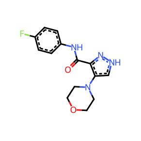 O=C(Nc1ccc(F)cc1)c1n[nH]cc1N1CCOCC1